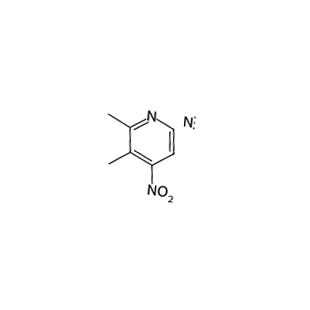 Cc1nccc([N+](=O)[O-])c1C.[N]